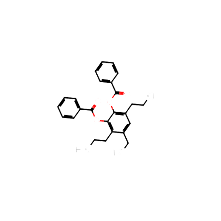 CCCc1cc(CC)c(CCC)c(OC(=O)c2ccccc2)c1OC(=O)c1ccccc1